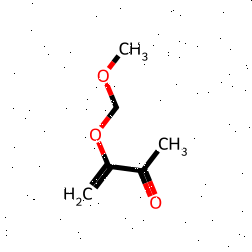 C=C(OCOC)C(C)=O